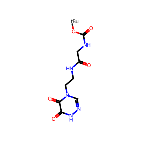 CC(C)(C)OC(=O)NCC(=O)NCCn1[c]n[nH]c(=O)c1=O